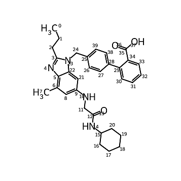 CCCc1nc2c(C)cc(NCC(=O)NC3CCCCC3)cc2n1Cc1ccc(-c2ccccc2C(=O)O)cc1